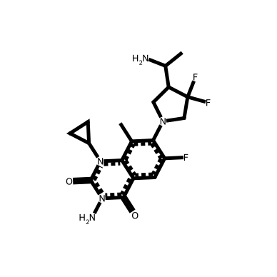 Cc1c(N2CC(C(C)N)C(F)(F)C2)c(F)cc2c(=O)n(N)c(=O)n(C3CC3)c12